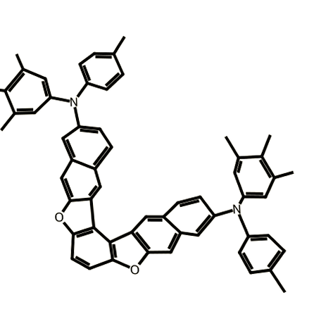 Cc1ccc(N(c2cc(C)c(C)c(C)c2)c2ccc3cc4c(cc3c2)oc2ccc3oc5cc6cc(N(c7ccc(C)cc7)c7cc(C)c(C)c(C)c7)ccc6cc5c3c24)cc1